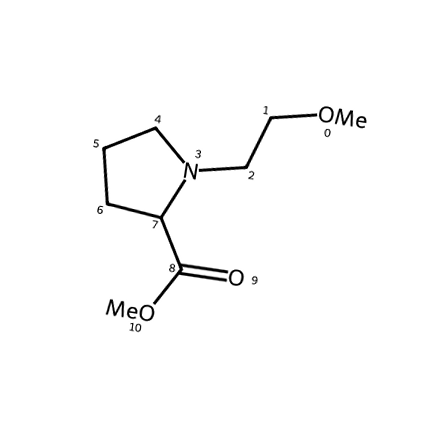 COCCN1CCCC1C(=O)OC